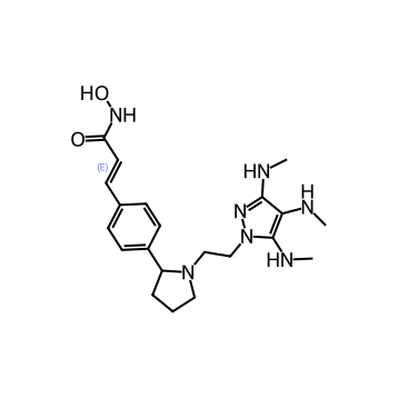 CNc1nn(CCN2CCCC2c2ccc(/C=C/C(=O)NO)cc2)c(NC)c1NC